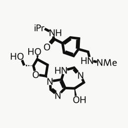 CNNCc1ccc(C(=O)NC(C)C)cc1.OC[C@H]1O[C@@H](n2cnc3c2NC=NC[C@H]3O)C[C@@H]1O